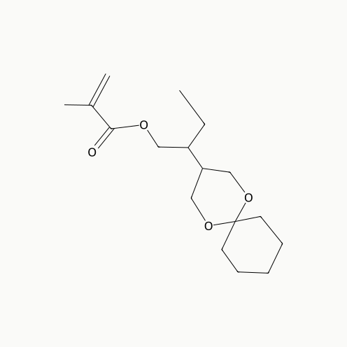 C=C(C)C(=O)OCC(CC)C1COC2(CCCCC2)OC1